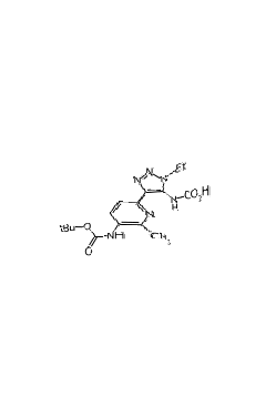 CCn1nnc(-c2ccc(NC(=O)OC(C)(C)C)c(C)n2)c1NC(=O)O